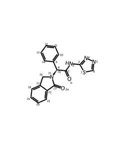 O=C(Nc1nncs1)[C@H](c1ccccc1)N1Cc2ccccc2C1=O